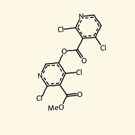 COC(=O)c1c(Cl)ncc(OC(=O)c2c(Cl)ccnc2Cl)c1Cl